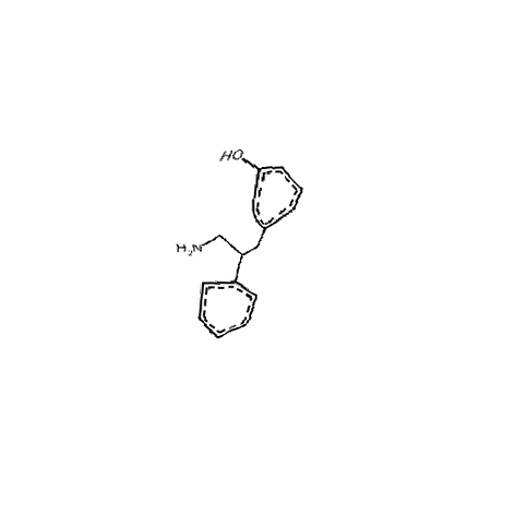 NCC(Cc1cccc(O)c1)c1ccccc1